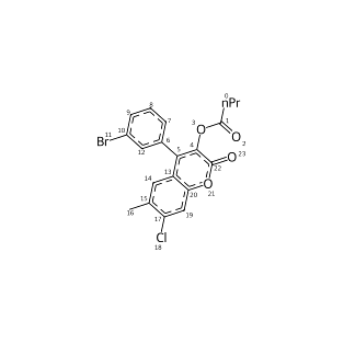 CCCC(=O)Oc1c(-c2cccc(Br)c2)c2cc(C)c(Cl)cc2oc1=O